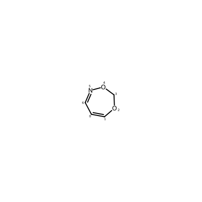 C1=COCON=C1